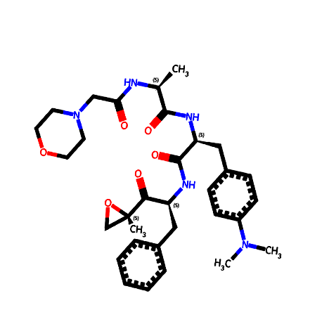 C[C@H](NC(=O)CN1CCOCC1)C(=O)N[C@@H](Cc1ccc(N(C)C)cc1)C(=O)N[C@@H](Cc1ccccc1)C(=O)[C@]1(C)CO1